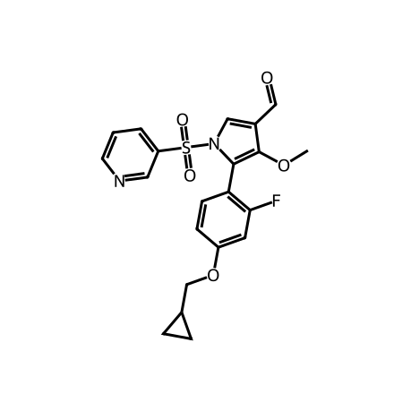 COc1c(C=O)cn(S(=O)(=O)c2cccnc2)c1-c1ccc(OCC2CC2)cc1F